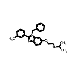 Cc1cccc(-c2nc3ccc(OCCNC(C)C)cc3n2Cc2ccccc2)c1